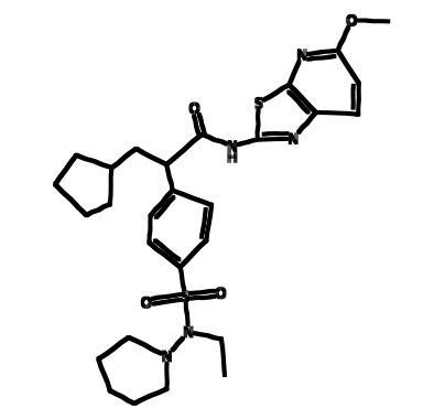 CCN(N1CCCCC1)S(=O)(=O)c1ccc(C(CC2CCCC2)C(=O)Nc2nc3ccc(OC)nc3s2)cc1